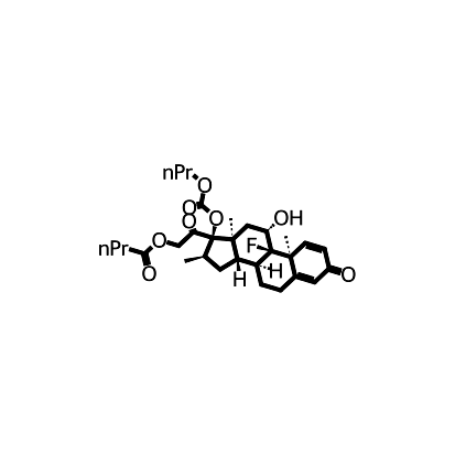 CCCOC(=O)O[C@]1(C(=O)COC(=O)CCC)[C@H](C)C[C@H]2[C@@H]3CCC4=CC(=O)C=C[C@]4(C)[C@@]3(F)[C@@H](O)C[C@@]21C